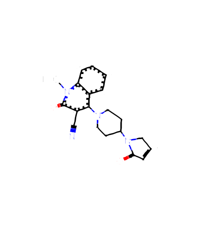 Cn1c(=O)c(C#N)c(N2CCC(N3CC=CC3=O)CC2)c2ccccc21